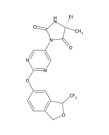 CC[C@@]1(C)NC(=O)N(c2cnc(Oc3ccc4c(c3)C(C(F)(F)F)OC4)nc2)C1=O